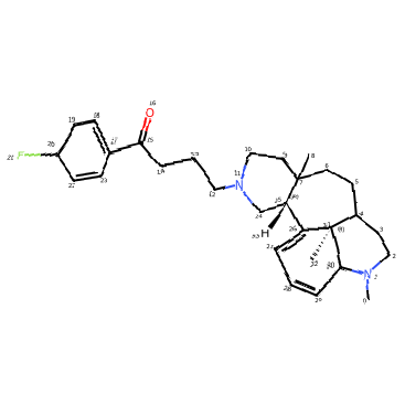 CN1CCC2CCC3(C)CCN(CCCC(=O)C4=CCC(F)C=C4)C[C@H]3C3=CC=CC1[C@@]32C